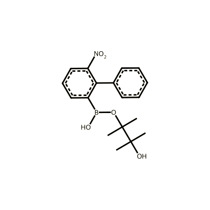 CC(C)(O)C(C)(C)OB(O)c1cccc([N+](=O)[O-])c1-c1ccccc1